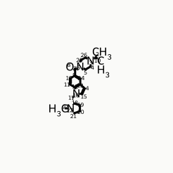 CC(C)N1CCN(C(=O)c2ccc3c(ccn3C[C@@H]3CCCN3C)c2)CC1